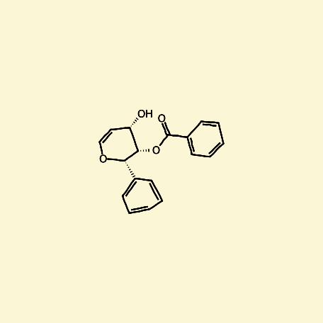 O=C(O[C@H]1[C@@H](O)C=CO[C@H]1c1ccccc1)c1ccccc1